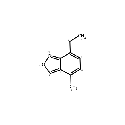 CCc1ccc(C)c2conc12